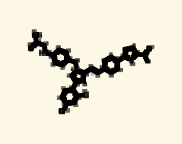 CC(=O)c1ccc(-c2ccc(/C=C/c3nc(-c4ccc(Cl)cc4Cl)cn3Cc3ccc(NCC(=O)O)cc3)cc2)s1